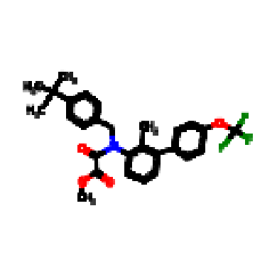 COC(=O)C(=O)N(Cc1ccc(C(C)(C)C)cc1)c1cccc(-c2ccc(OC(F)(F)F)cc2)c1C